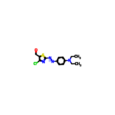 CCN(CC)c1ccc(/N=N/c2nc(Cl)c(C=O)s2)cc1